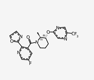 C[C@H]1[C@H](Oc2cnc(C(F)(F)F)cn2)CCCN1C(=O)c1cc(F)cnc1-c1ncco1